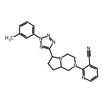 Cc1cccc(-n2nnc(C3CCC4CN(c5ncccc5C#N)CCN43)n2)c1